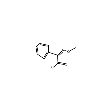 CON=C(C(=O)Cl)c1ccccc1